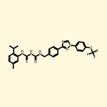 Cc1ccc(C(C)C)c(NC(=S)NC(=O)NCc2ccc(-c3ncn(-c4ccc(OC(F)(F)F)cc4)n3)cc2)c1